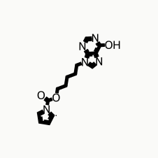 O=C(OCCCCCn1cnc2c(O)ncnc21)n1[c]ccc1